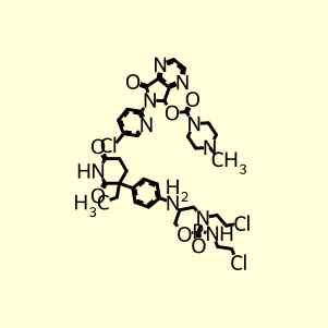 CCC1(c2ccc(N)cc2)CCC(=O)NC1=O.CN1CCN(C(=O)OC2c3nccnc3C(=O)N2c2ccc(Cl)cn2)CC1.O=P1(NCCCl)OCCCN1CCCl